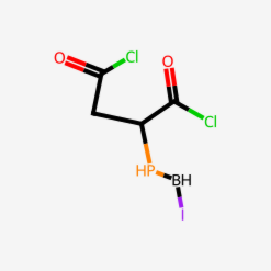 O=C(Cl)CC(PBI)C(=O)Cl